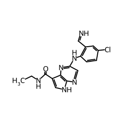 CCNC(=O)c1c[nH]c2ncc(Nc3ccc(Cl)cc3C=N)nc12